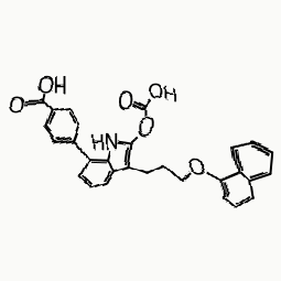 O=C(O)Oc1[nH]c2c(-c3ccc(C(=O)O)cc3)cccc2c1CCCOc1cccc2ccccc12